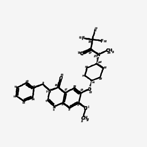 COc1cc2ncn(Cc3ccccc3)c(=O)c2cc1O[C@H]1CC[C@@H](N(C)C(=O)C(F)(F)F)CC1